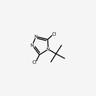 CC(C)(C)n1c(Cl)nnc1Cl